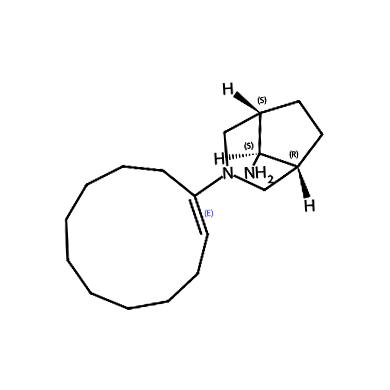 N[C@@H]1[C@@H]2CC[C@H]1CN(/C1=C/CCCCCCCCC1)C2